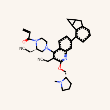 C=CC(=O)N1CCN(c2c(CC#N)c(OC[C@@H]3CCCN3C)nc3cc(-c4cccc5c4C4CC4C5)ccc23)C[C@@H]1CC#N